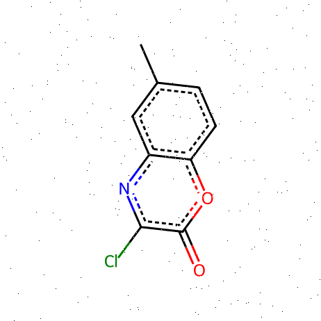 Cc1ccc2oc(=O)c(Cl)nc2c1